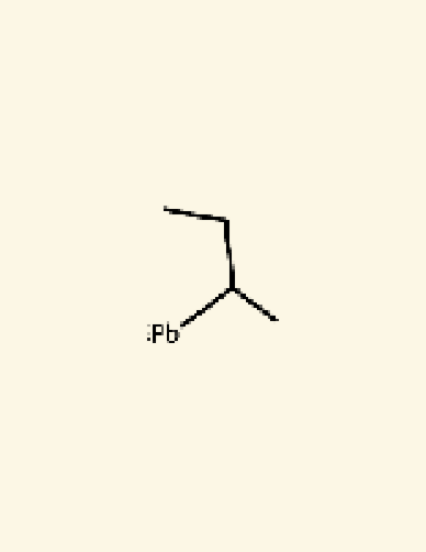 CC[CH](C)[Pb]